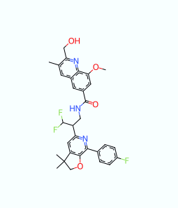 COc1cc(C(=O)NCC(c2cc3c(c(-c4ccc(F)cc4)n2)OCC3(C)C)C(F)F)cc2cc(C)c(CO)nc12